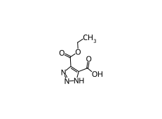 CCOC(=O)c1nn[nH]c1C(=O)O